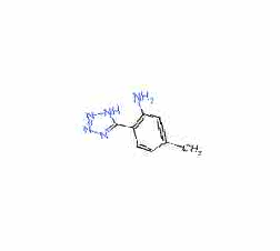 Cc1ccc(-c2nnn[nH]2)c(N)c1